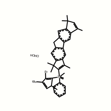 Cl.Cl.[CH2]=[Zr]([CH3])([C]1=C(CC)C(C(C)(C)C)=CC1C)([C]1=C(C)c2cc3c(cc2C1(C)C)Cc1cc2c(cc1-3)C(C)=CC2(C)C)[c]1ccccc1